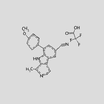 COc1ccc(-c2cc(C#N)cc3c2[nH]c2c(C)nccc23)cc1.O=C(O)C(F)(F)F